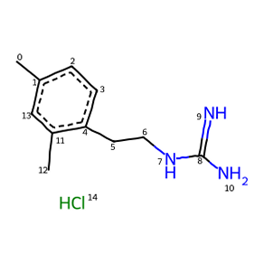 Cc1ccc(CCNC(=N)N)c(C)c1.Cl